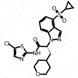 O=C(Nc1ncc(Cl)s1)[C@@H](CC1CCOCC1)n1ncc2c(S(=O)(=O)C3CC3)cccc21